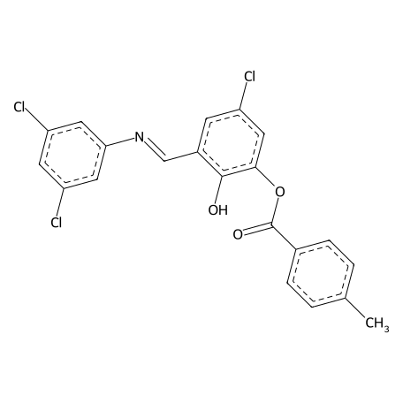 Cc1ccc(C(=O)Oc2cc(Cl)cc(C=Nc3cc(Cl)cc(Cl)c3)c2O)cc1